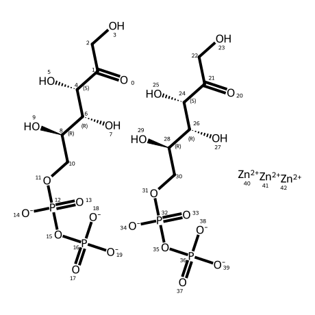 O=C(CO)[C@@H](O)[C@H](O)[C@H](O)COP(=O)([O-])OP(=O)([O-])[O-].O=C(CO)[C@@H](O)[C@H](O)[C@H](O)COP(=O)([O-])OP(=O)([O-])[O-].[Zn+2].[Zn+2].[Zn+2]